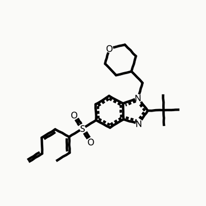 C=C/C=C\C(=C/C)S(=O)(=O)c1ccc2c(c1)nc(C(C)(C)C)n2CC1CCOCC1